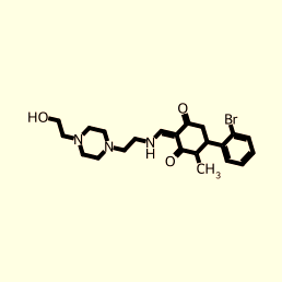 CC1C(=O)/C(=C\NCCN2CCN(CCO)CC2)C(=O)CC1c1ccccc1Br